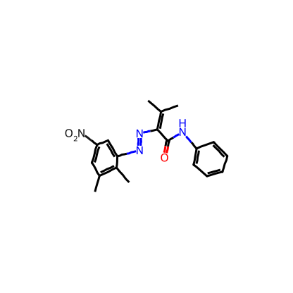 CC(C)=C(/N=N/c1cc([N+](=O)[O-])cc(C)c1C)C(=O)Nc1ccccc1